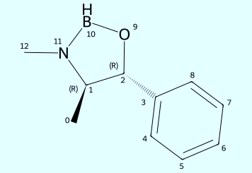 C[C@@H]1[C@@H](c2ccccc2)OBN1C